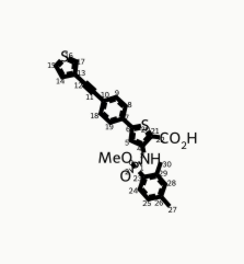 COP(=O)(Nc1cc(-c2ccc(C#Cc3ccsc3)cc2)sc1C(=O)O)c1ccc(C)cc1C